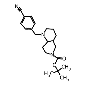 CC(C)(C)OC(=O)N1CCC2C(CCCN2Cc2ccc(C#N)cc2)C1